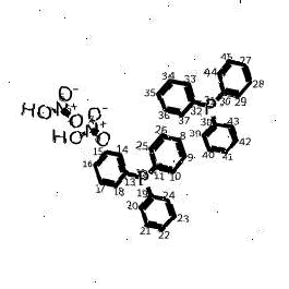 O=[N+]([O-])O.O=[N+]([O-])O.c1ccc(P(c2ccccc2)c2ccccc2)cc1.c1ccc(P(c2ccccc2)c2ccccc2)cc1